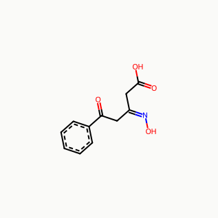 O=C(O)C/C(CC(=O)c1ccccc1)=N/O